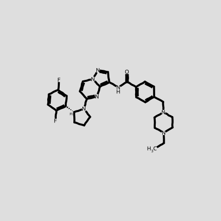 CCN1CCN(Cc2ccc(C(=O)Nc3cnn4ccc(N5CCC[C@@H]5c5cc(F)ccc5F)nc34)cc2)CC1